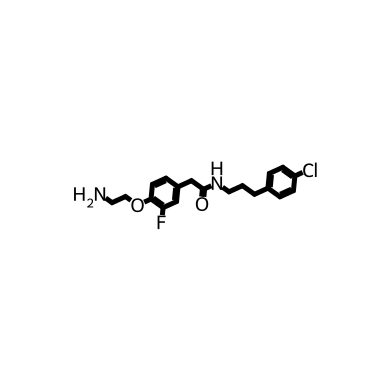 NCCOc1ccc(CC(=O)NCCCc2ccc(Cl)cc2)cc1F